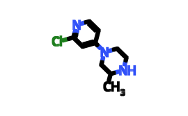 CC1CN(c2ccnc(Cl)c2)CCN1